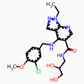 CCn1ncc2c(NCc3ccc(OC)c(Cl)c3)c(C(=O)NCC(O)CO)cnc21